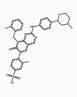 CCS(=O)(=O)c1ccc(-c2cc3cnc(Nc4ccc(C5CN(C)CCS5)cc4)nc3n(Cc3ccccc3C)c2=O)c(C)c1